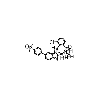 [2H]C([2H])([2H])N1C(=O)c2cccc(Cl)c2[C@H]2C[C@@H]1c1nc3ccc(-c4ccc(P(C)(C)=O)cc4)cc3n12